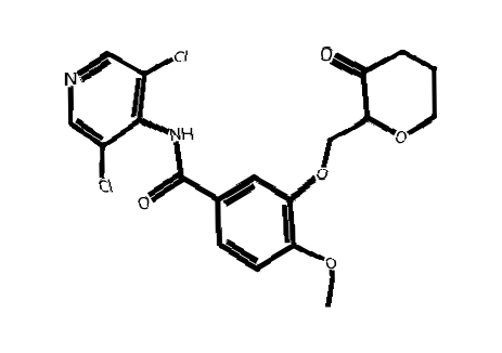 COc1ccc(C(=O)Nc2c(Cl)cncc2Cl)cc1OCC1OCCCC1=O